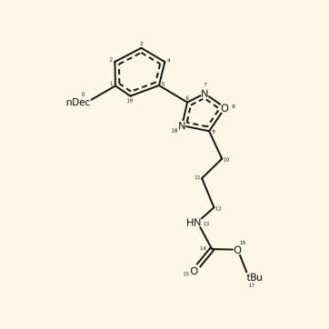 CCCCCCCCCCc1cccc(-c2noc(CCCNC(=O)OC(C)(C)C)n2)c1